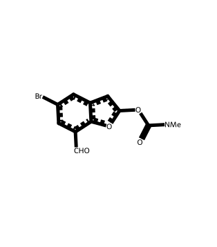 CNC(=O)Oc1cc2cc(Br)cc(C=O)c2o1